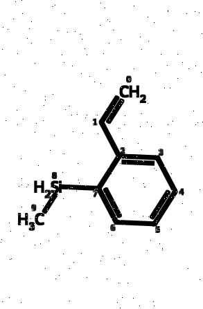 C=Cc1ccccc1[SiH2]C